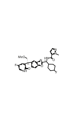 COC[C@H](c1ccc2oc([C@@H](NC(=O)c3ccnn3C)C3CCC(F)CC3)nc2c1)c1cc(F)c[nH]c1=O